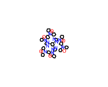 c1ccc2c(c1)Oc1ccccc1N2c1ccc2c(c1)Oc1ccccc1N2c1ccnc(-c2cc(-c3nccc(N4c5ccccc5Oc5cc(N6c7ccccc7Oc7ccccc76)ccc54)n3)cc(-c3nccc(N4c5ccccc5Oc5cc(N6c7ccccc7Oc7ccccc76)ccc54)n3)c2)n1